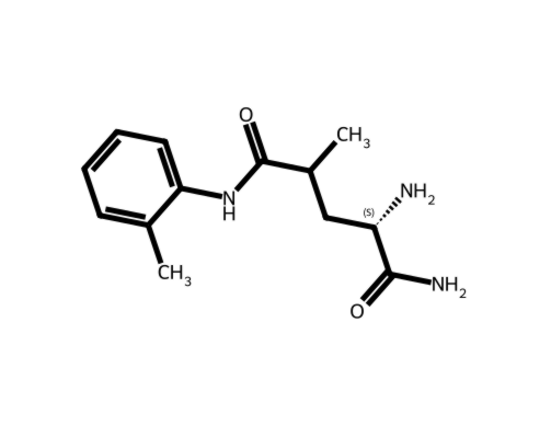 Cc1ccccc1NC(=O)C(C)C[C@H](N)C(N)=O